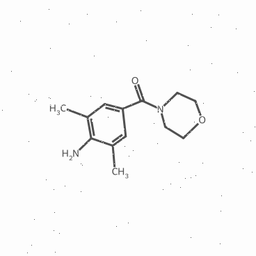 Cc1cc(C(=O)N2CCOCC2)cc(C)c1N